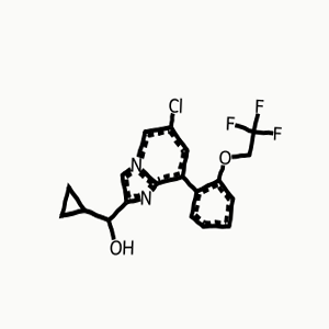 OC(c1cn2cc(Cl)cc(-c3ccccc3OCC(F)(F)F)c2n1)C1CC1